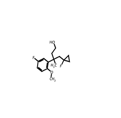 COc1ccc(F)cc1C(C)(CCO)CC1(F)CC1